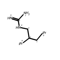 CC(C)CC(CNC(=N)N)C(C)C